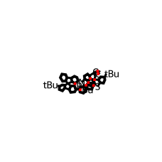 CC(C)(C)c1ccc2c(c1)C1(c3cc(C(C)(C)C)ccc3S2)c2ccccc2-c2ccc(N(c3ccc4c(c3)C3(c5ccccc5-4)c4cc(C(C)(C)C)ccc4-c4ccc(C(C)(C)C)cc43)c3ccccc3-c3ccccc3)cc21